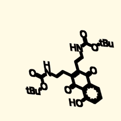 CC(C)(C)OC(=O)NCCC1=C(CCNC(=O)OC(C)(C)C)C(=O)c2c(O)cccc2C1=O